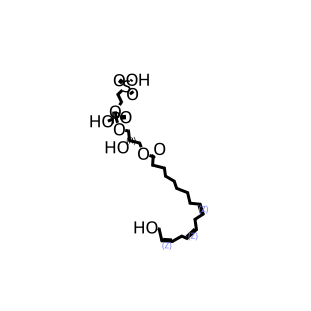 O=C(CCCCCCC/C=C\C/C=C\C/C=C\CO)OC[C@@H](O)COP(=O)(O)OCCS(=O)(=O)O